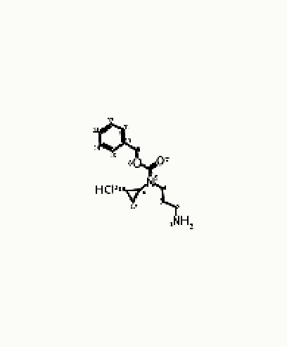 Cl.NCCCN(C(=O)OCc1ccccc1)C1CC1